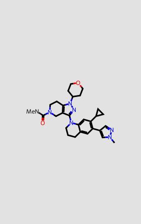 CNC(=O)N1CCc2c(c(N3CCCc4cc(-c5cnn(C)c5)c(C5CC5)cc43)nn2C2CCOCC2)C1